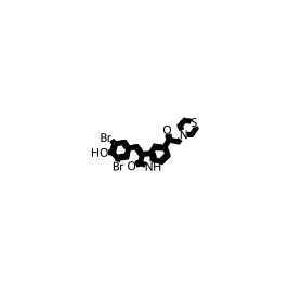 O=C1Nc2ccc(C(=O)CN3CCSCC3)cc2C1=Cc1cc(Br)c(O)c(Br)c1